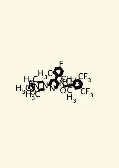 Cc1cc(F)ccc1-c1cc(N2CC(C)N(S(C)(=O)=O)C(C)C2)ncc1N(C)C(=O)C(C)(C)c1cc(C(F)(F)F)cc(C(F)(F)F)c1